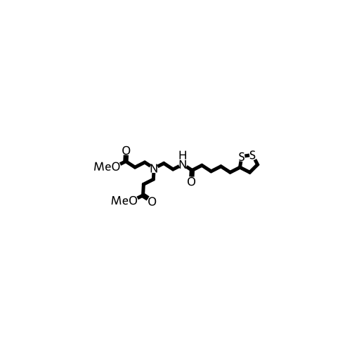 COC(=O)CCN(CCNC(=O)CCCCC1CCSS1)CCC(=O)OC